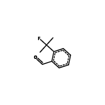 CC(C)(F)c1ccccc1C=O